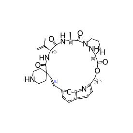 C=C(C)[C@@H]1NC(=O)C2(/C=C/c3ccc4ccc(nc4c3)[C@@H](C)OC(=O)[C@@H]3CCCN(N3)C(=O)[C@H](C)NC1=O)CCNCC2